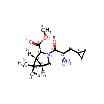 COC(=O)[C@@H]1[C@@H]2[C@H](CN1C(=O)[C@@H](N)CC1CC1)C2(C)C